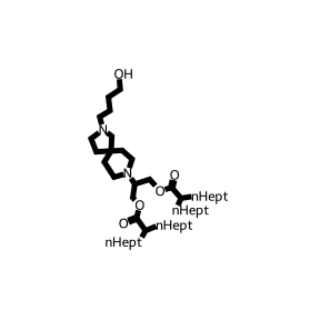 CCCCCCCC(CCCCCCC)C(=O)OCC(COC(=O)C(CCCCCCC)CCCCCCC)N1CCC2(CCN(CCCCO)C2)CC1